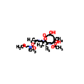 COCCN(C)C(=O)OC[C@H](C)/C=C/C=C(\C)[C@H]1OC(=O)C[C@H](O)CC[C@@](C)(O)[C@@H](OC(C)=O)/C=C/[C@@H]1C